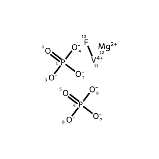 O=P([O-])([O-])[O-].O=P([O-])([O-])[O-].[F][V+4].[Mg+2]